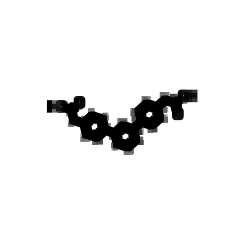 O=C(O)Cc1ccc(-c2cccc(-c3ccc(CC(=O)O)cc3)c2)cc1